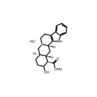 COC(=O)[C@H]1C(O)CC[C@H]2CN3CCc4c([nH]c5ccccc45)[C@@H]3C[C@@H]21.Cl